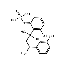 CC(CC(O)(O)C1=C(O)C=CCC1=NP(=O)(O)O)c1cccc(O)c1